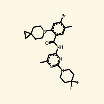 Cc1cc(NC(=O)c2cc(C)c(Br)cc2N2CCC3(CC2)CC3)nc(N2CCC(F)(F)CC2)n1